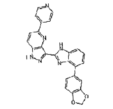 c1cc(-c2ccc3c(c2)OCO3)c2nc(-c3n[nH]c4ccc(-c5ccncc5)nc34)[nH]c2c1